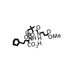 COC(=O)CCNC(=O)[C@@H]1OP(=O)(NC(CCc2ccccc2)C(=O)O)OCC1(C)C